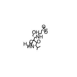 CC(C)[C@H](NN)C(=O)C(=O)[C@H](CO)NCCCS(C)(=O)=O